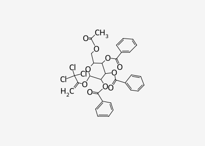 C=C(OC1OC(COC(C)=O)C(OC(=O)c2ccccc2)C(OC(=O)c2ccccc2)C1OC(=O)c1ccccc1)C(Cl)(Cl)Cl